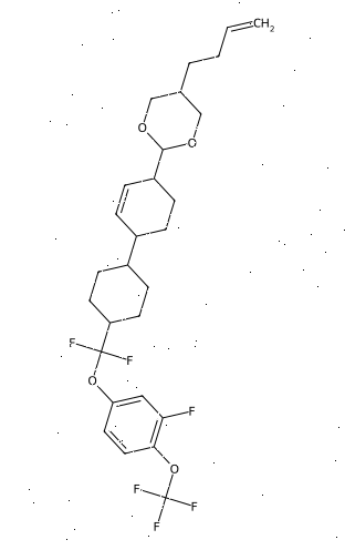 C=CCCC1COC(C2C=CC(C3CCC(C(F)(F)Oc4ccc(OC(F)(F)F)c(F)c4)CC3)CC2)OC1